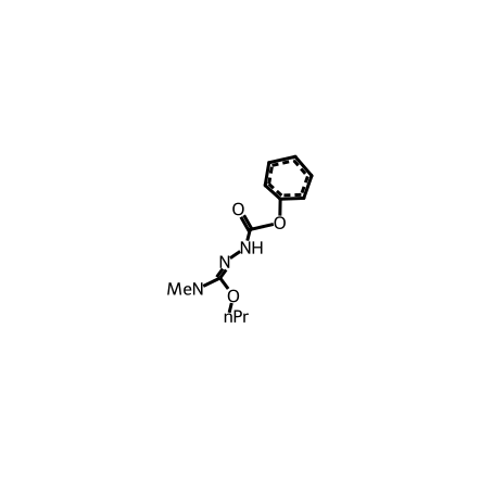 CCCOC(=NNC(=O)Oc1ccccc1)NC